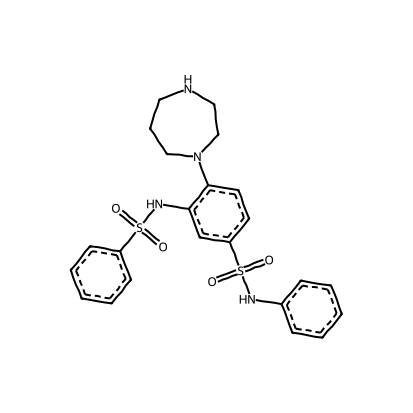 O=S(=O)(Nc1ccccc1)c1ccc(N2CCCNCC2)c(NS(=O)(=O)c2ccccc2)c1